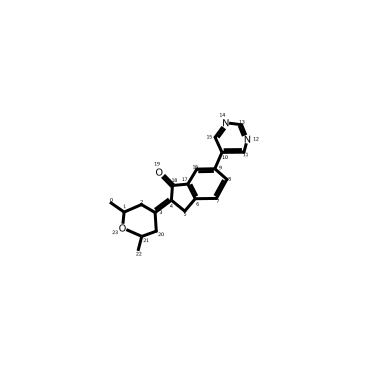 CC1CC(=C2Cc3ccc(-c4cncnc4)cc3C2=O)CC(C)O1